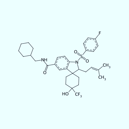 CC(C)=CCC1N(S(=O)(=O)c2ccc(F)cc2)c2ccc(C(=O)NCC3CCCCC3)cc2C12CCC(O)(C(F)(F)F)CC2